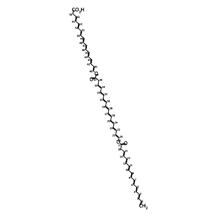 C=C/C=C/C=C/C=C/C=C/C=C/C=C/C=C/CC(=O)O/C=C/C=C/C=C/C=C/C=C/C=C/C=C/C=C/CC(=O)O/C=C/C=C/C=C/C=C/C=C/C=C/C=C/C=C/CC(=O)O